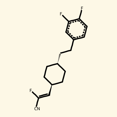 N#CC(F)=C[C@H]1CC[C@H](CCc2ccc(F)c(F)c2)CC1